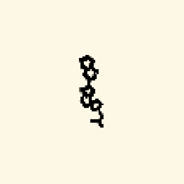 CC(C)SN1CCC2(CCn3nc(-c4cnc5ccccc5c4)cc32)C1